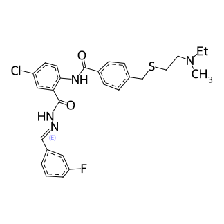 CCN(C)CCSCc1ccc(C(=O)Nc2ccc(Cl)cc2C(=O)N/N=C/c2cccc(F)c2)cc1